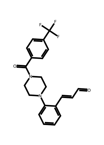 O=C/C=C/c1ccccc1N1CCN(C(=O)c2ccc(C(F)(F)F)cc2)CC1